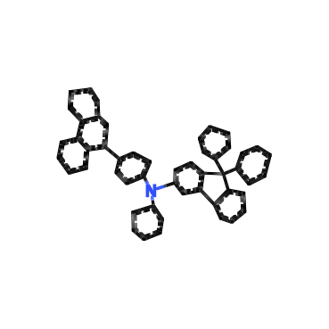 c1ccc(N(c2ccc(-c3cc4ccccc4c4ccccc34)cc2)c2ccc3c(c2)-c2ccccc2C3(c2ccccc2)c2ccccc2)cc1